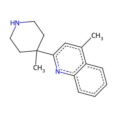 Cc1cc(C2(C)CCNCC2)nc2ccccc12